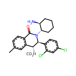 Cc1ccc2c(c1)[C@@H](C(=O)O)[C@H](c1ccc(Cl)cc1Cl)N([C@H]1CCCC[C@@H]1N)C2=O